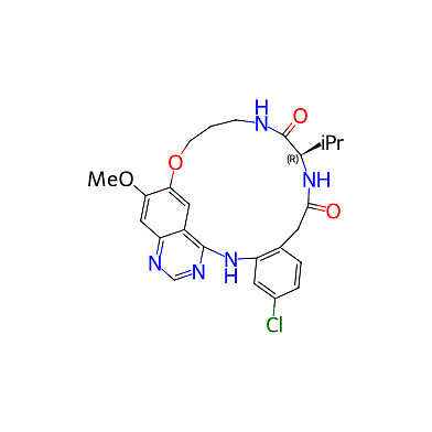 COc1cc2ncnc3c2cc1OCCCNC(=O)[C@@H](C(C)C)NC(=O)Cc1ccc(Cl)cc1N3